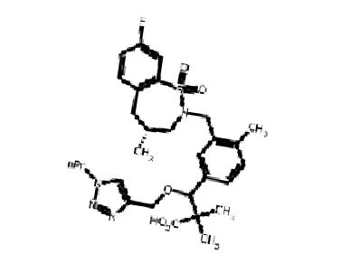 CCCn1cc(COC(c2ccc(C)c(CN3C[C@H](C)Cc4ccc(F)cc4S3(=O)=O)c2)C(C)(C)C(=O)O)nn1